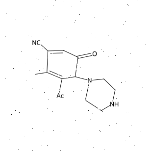 CC(=O)C1=C(C)C(C#N)=CC(=O)C1N1CCNCC1